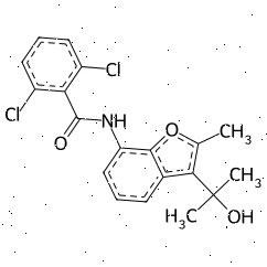 Cc1oc2c(NC(=O)c3c(Cl)cccc3Cl)cccc2c1C(C)(C)O